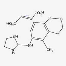 Cc1c(NC2NCCN2)ccc2c1CCOO2.O=C(O)/C=C/C(=O)O